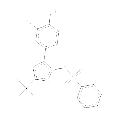 O=S(=O)(Nn1nc(C(F)(F)F)cc1-c1ccc(O)c(O)c1)c1ccccc1